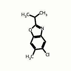 Cc1cc2oc(C(C)C)nc2cc1Cl